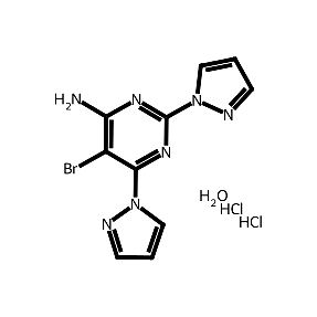 Cl.Cl.Nc1nc(-n2cccn2)nc(-n2cccn2)c1Br.O